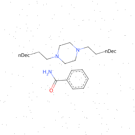 CCCCCCCCCCCCN1CCN(CCCCCCCCCCCC)CC1.NC(=O)c1ccccc1